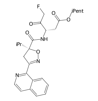 CCCC(C)OC(=O)C[C@H](NC(=O)[C@]1(C(C)C)CC(c2nccc3ccccc23)=NO1)C(=O)CF